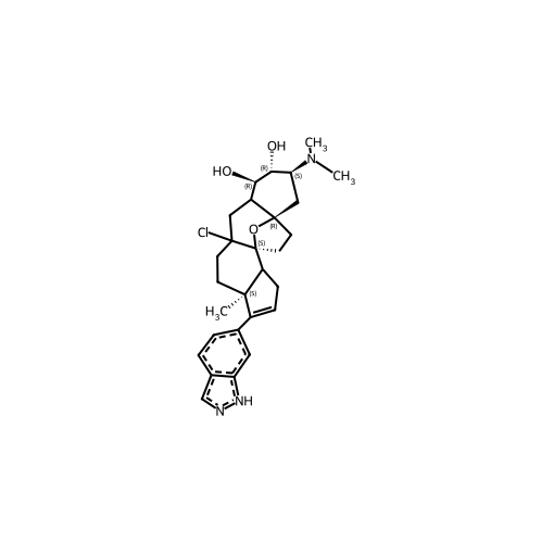 CN(C)[C@H]1C[C@@]23CC[C@]4(O2)C2CC=C(c5ccc6cn[nH]c6c5)[C@@]2(C)CCC4(Cl)CC3[C@@H](O)[C@@H]1O